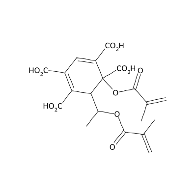 C=C(C)C(=O)OC(C)C1C(C(=O)O)=C(C(=O)O)C=C(C(=O)O)C1(OC(=O)C(=C)C)C(=O)O